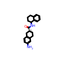 Nc1ccc2c(c1)CC[C@H](C(=O)NC1CCCc3ccccc31)C2